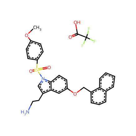 COc1ccc(S(=O)(=O)n2cc(CCN)c3cc(OCc4cccc5ccccc45)ccc32)cc1.O=C(O)C(F)(F)F